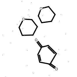 C1CCOCC1.C1CCOCC1.O=C1C=CC(=O)C=C1